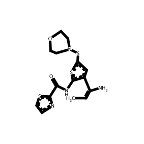 C/C=C(/N)c1cc(SN2CCOCC2)sc1NC(=O)c1nccs1